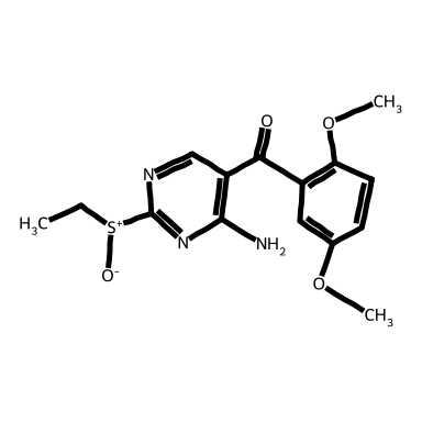 CC[S+]([O-])c1ncc(C(=O)c2cc(OC)ccc2OC)c(N)n1